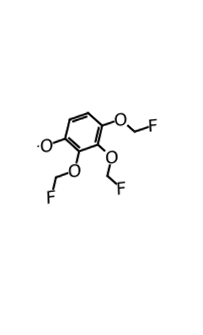 [O]c1ccc(OCF)c(OCF)c1OCF